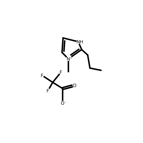 CCCc1[nH]cc[n+]1C.O=C([O-])C(F)(F)F